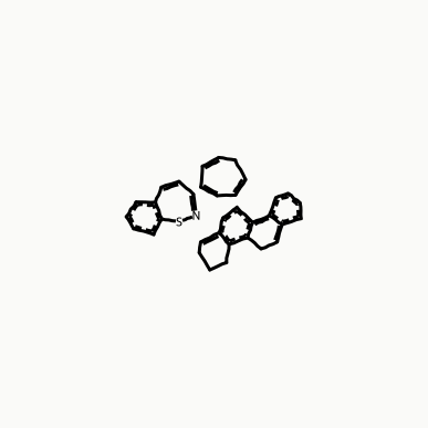 C1=CC=CCC=C1.C1=Cc2ccccc2SN=C1.C1=c2ccc3c(c2CCC1)CC=c1ccccc1=3